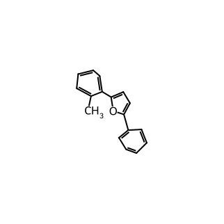 Cc1ccccc1-c1ccc(-c2ccccc2)o1